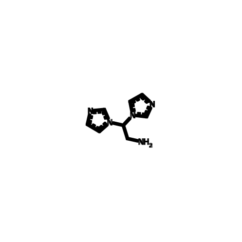 NCC(n1ccnc1)n1ccnc1